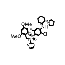 COc1ccc(CN(c2nccs2)S(=O)(=O)c2cc(Cl)c(N[C@H]3CCCC[C@@H]3N3CCCC3)cc2F)c(OC)c1